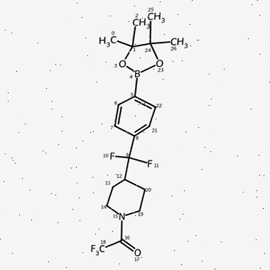 CC1(C)OB(c2ccc(C(F)(F)C3CCN(C(=O)C(F)(F)F)CC3)cc2)OC1(C)C